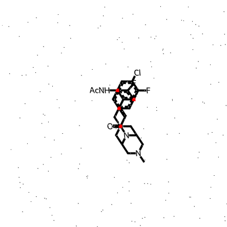 CC(=O)Nc1cc(Cl)c(F)cc1C=CC(=O)N1C2CN(C)CC1CN(Cc1ccc(F)cc1)C2